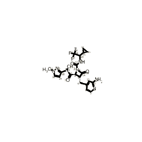 CN(C(=O)[C@@H]1[C@@H](Cc2ccnc(N)c2)C(=O)N1C(=O)NC(C1CC1)C(F)(F)F)c1ccn(C)n1